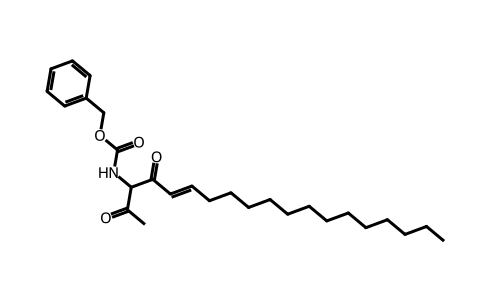 CCCCCCCCCCCCC/C=C/C(=O)C(NC(=O)OCc1ccccc1)C(C)=O